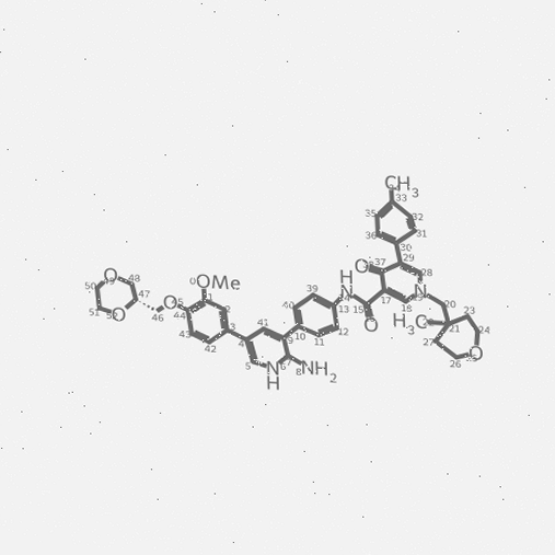 COc1cc(C2=CNC(N)C(c3ccc(NC(=O)c4cn(CC5(C)CCOCC5)cc(-c5ccc(C)cc5)c4=O)cc3)=C2)ccc1OC[C@H]1COCCO1